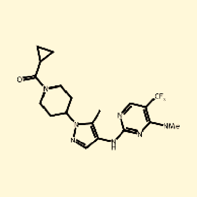 CNc1nc(Nc2cnn(C3CCN(C(=O)C4CC4)CC3)c2C)ncc1C(F)(F)F